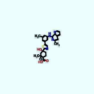 Cc1cc(Nc2nc(C)cc3cccnc23)cc(-c2cnc([C@]3(O)CC[C@@H](C(=O)O)C(C)(C)C3)s2)c1